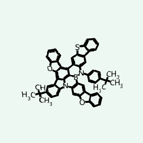 CC(C)(C)c1ccc(N2B3c4cc5c(cc4-n4c6ccc(C(C)(C)C)cc6c6c7oc8ccccc8c7c(c3c64)-c3cc4sc6ccccc6c4cc32)oc2ccccc25)cc1